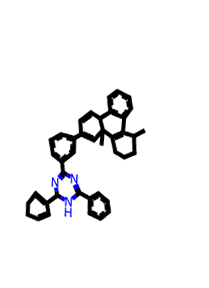 CC1CCCC2=C1c1ccccc1C1C=CC(c3cccc(C4=NC(C5=CCCC=C5)NC(c5ccccc5)=N4)c3)=CC21C